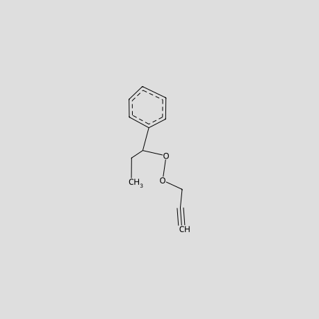 C#CCOOC(CC)c1ccccc1